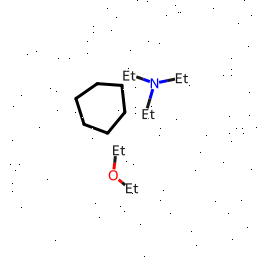 C1CCCCC1.CCN(CC)CC.CCOCC